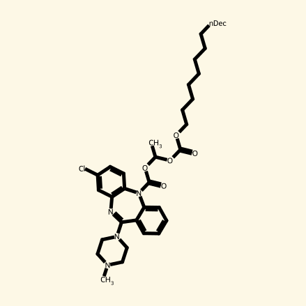 CCCCCCCCCCCCCCCCCCOC(=O)OC(C)OC(=O)N1c2ccc(Cl)cc2N=C(N2CCN(C)CC2)c2ccccc21